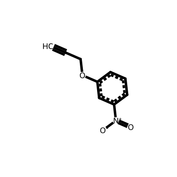 C#CCOc1cccc([N+](=O)[O-])c1